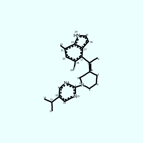 C/C(=C1\CCCN(c2ncc(C(C)C)cn2)C1)c1c(F)cc(C)c2[nH]ccc12